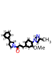 COc1cc(C=CC(=O)N2CCC(c3ccccc3)C2)ccc1-n1cnc(C)c1